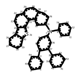 c1ccc(-c2ccc(N(c3ccccc3)c3ccc4ccc5ccc6c7ccccc7sc6c5c4c3)cc2-c2ccccc2)cc1